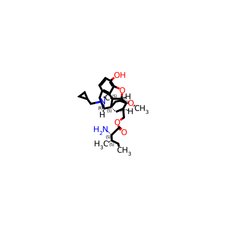 CC[C@H](C)[C@H](N)C(=O)OC[C@H]1C[C@@]23CC[C@]1(OC)[C@@H]1Oc4c(O)ccc5c4[C@@]12CCN(CC1CC1)[C@@H]3C5